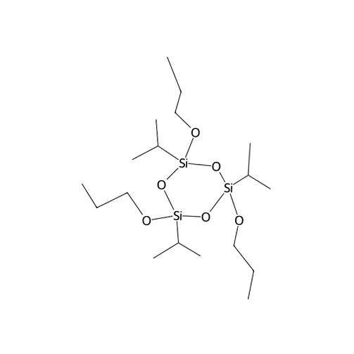 CCCO[Si]1(C(C)C)O[Si](OCCC)(C(C)C)O[Si](OCCC)(C(C)C)O1